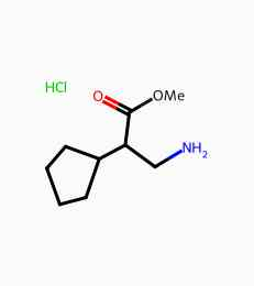 COC(=O)C(CN)C1CCCC1.Cl